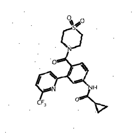 O=C(Nc1ccc(C(=O)N2CCS(=O)(=O)CC2)c(-c2cccc(C(F)(F)F)n2)c1)C1CC1